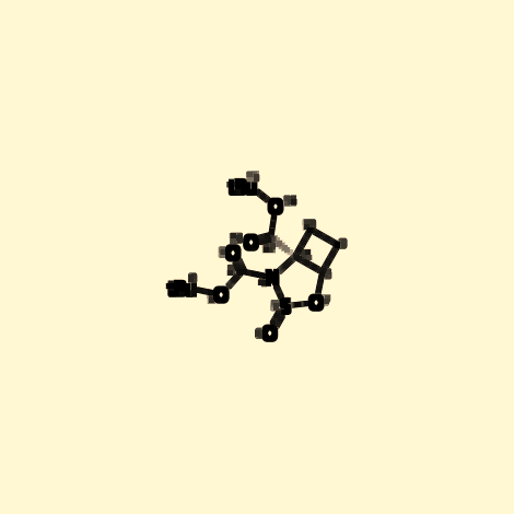 CC(C)(C)OC(=O)N1S(=O)OC2CC[C@@]21C(=O)OC(C)(C)C